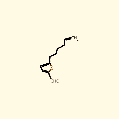 C=CCCCCc1ccc(C=O)s1